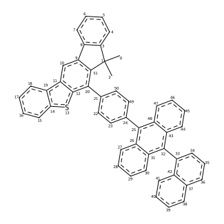 CC1(C)c2ccccc2-c2cc3c(sc4ccccc43)c(-c3ccc(-c4c5ccccc5c(-c5cccc6ccccc56)c5ccccc45)cc3)c21